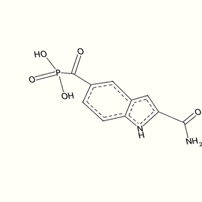 NC(=O)c1cc2cc(C(=O)P(=O)(O)O)ccc2[nH]1